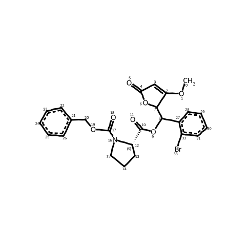 COC1=CC(=O)OC1C(OC(=O)[C@@H]1CCCN1C(=O)OCc1ccccc1)c1ccccc1Br